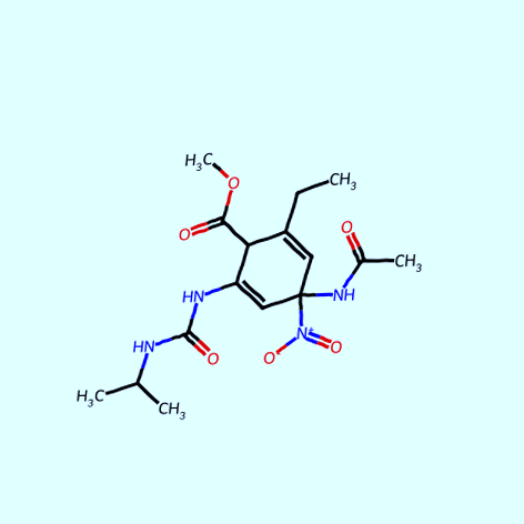 CCC1=CC(NC(C)=O)([N+](=O)[O-])C=C(NC(=O)NC(C)C)C1C(=O)OC